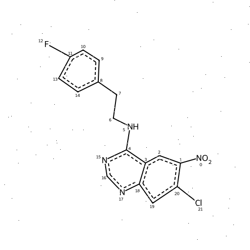 O=[N+]([O-])c1cc2c(NCCc3ccc(F)cc3)ncnc2cc1Cl